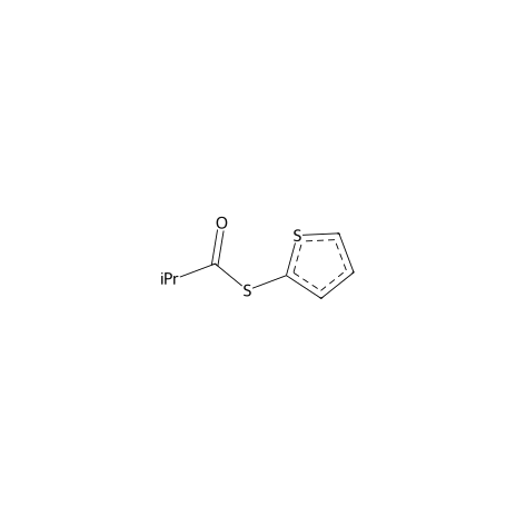 CC(C)C(=O)Sc1cccs1